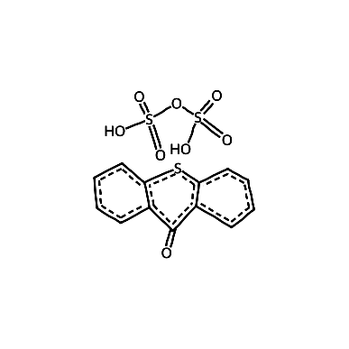 O=S(=O)(O)OS(=O)(=O)O.O=c1c2ccccc2sc2ccccc12